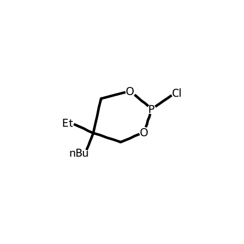 CCCCC1(CC)COP(Cl)OC1